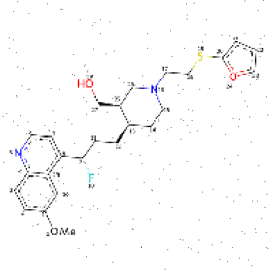 COc1ccc2nccc([C@@H](F)CC[C@@H]3CCN(CCSc4ccco4)C[C@@H]3CO)c2c1